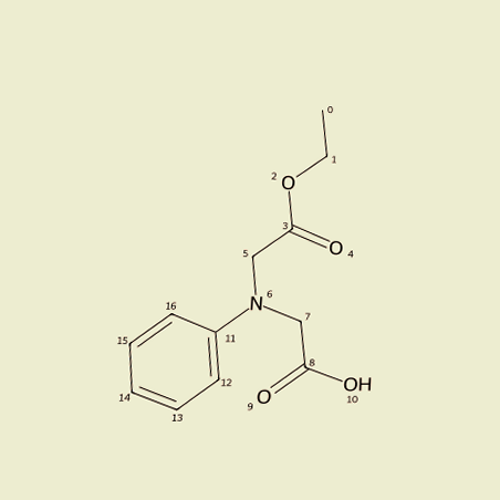 CCOC(=O)CN(CC(=O)O)c1ccccc1